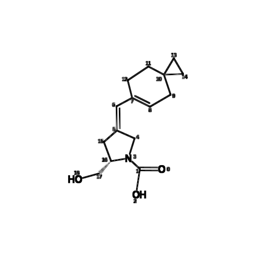 O=C(O)N1C/C(=C\C2=CCC3(CC2)CC3)C[C@H]1CO